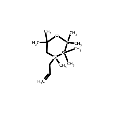 C=CC[Si]1(C)CC(C)(C)O[Si](C)(C)[Si]1(C)C